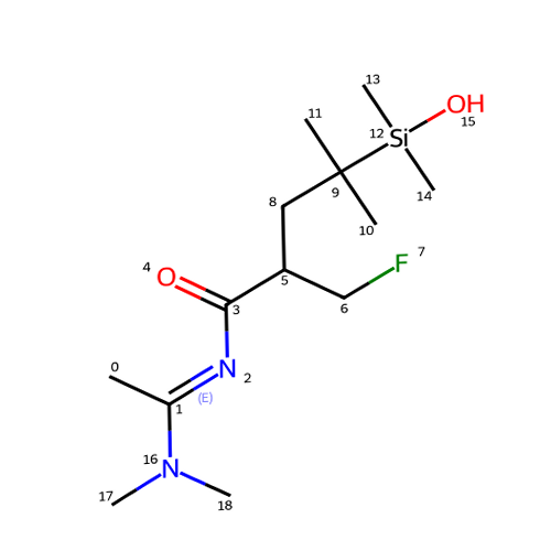 C/C(=N\C(=O)C(CF)CC(C)(C)[Si](C)(C)O)N(C)C